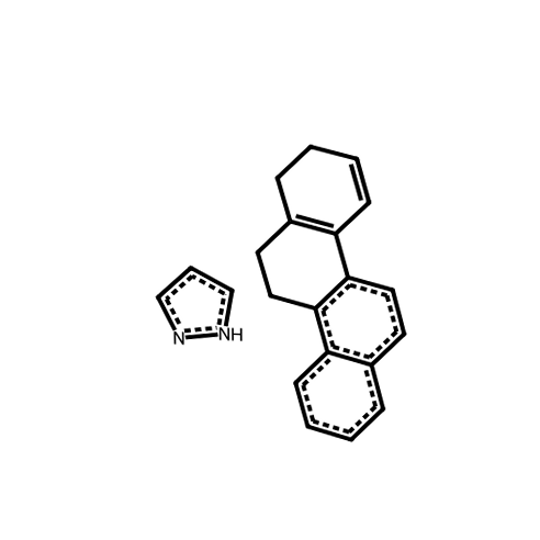 C1=CC2=C(CC1)CCc1c2ccc2ccccc12.c1cn[nH]c1